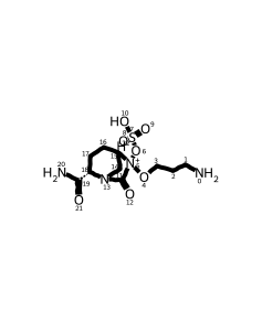 NCCCO[N+]1(OS(=O)(=O)O)C(=O)N2C[C@H]1CC[C@H]2C(N)=O